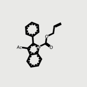 C=CCOC(=O)n1c(-c2ccccc2)c(C(C)=O)c2ccccc21